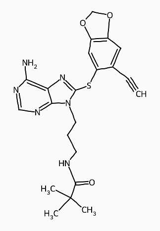 C#Cc1cc2c(cc1Sc1nc3c(N)ncnc3n1CCCNC(=O)C(C)(C)C)OCO2